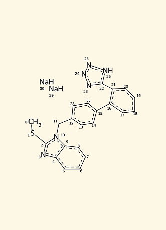 CSc1nc2ccccc2n1Cc1ccc(-c2ccccc2-c2nnn[nH]2)cc1.[NaH].[NaH]